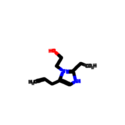 C=CCc1c[nH]c(CC(=O)O)[n+]1CCO